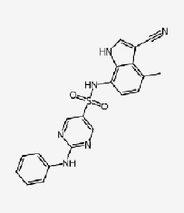 Cc1ccc(NS(=O)(=O)c2cnc(Nc3ccccc3)nc2)c2[nH]cc(C#N)c12